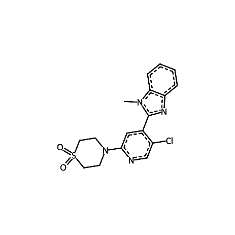 Cn1c(-c2cc(N3CCS(=O)(=O)CC3)ncc2Cl)nc2ccccc21